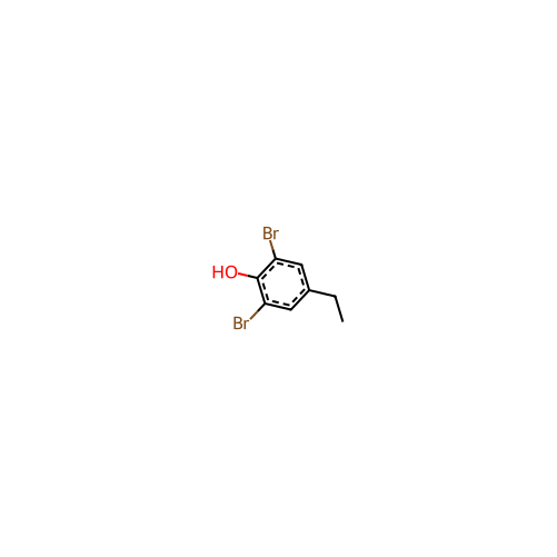 CCc1cc(Br)c(O)c(Br)c1